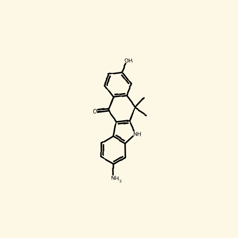 CC1(C)c2cc(O)ccc2C(=O)c2c1[nH]c1cc(N)ccc21